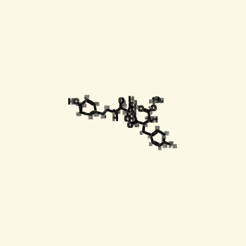 CC(C)(C)OC(=O)N[C@@H](Cc1ccc(F)cc1)C(=O)NC(C)(C)C(=O)NCCc1ccc(O)cc1